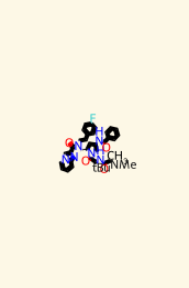 CN[C@@H](C)C(=O)N[C@H](C(=O)N1C[C@@H](NC(=O)c2ccccc2)C[C@H]1CN(CCc1ccc(F)cc1)C(=O)c1cn2ccccc2n1)C(C)(C)C